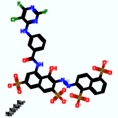 O=C(Nc1cc(S(=O)(=O)[O-])cc2cc(S(=O)(=O)[O-])c(/N=N/c3ccc4c(S(=O)(=O)[O-])cccc4c3S(=O)(=O)[O-])c(O)c12)c1cccc(Nc2nc(F)nc(F)c2Cl)c1.[Na+].[Na+].[Na+].[Na+]